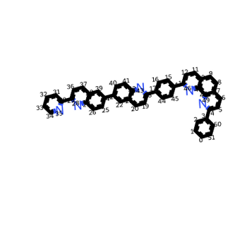 c1ccc(-c2ccc3ccc4ccc(-c5ccc(-c6ccc7cc(-c8ccc9nc(-c%10ccccn%10)ccc9c8)ccc7n6)cc5)nc4c3n2)cc1